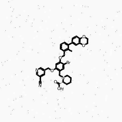 Cc1c(COc2cc(OCc3cncc(C#N)c3)c(CN3CCCC[C@@H]3C(=O)O)cc2Br)cccc1-c1ccc2c(c1)OCCO2